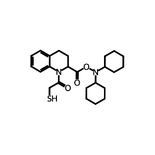 O=C(ON(C1CCCCC1)C1CCCCC1)C1CCc2ccccc2N1C(=O)CS